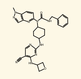 Cn1ncc2nc(N(C(=O)NCc3ccccc3)C3CCC(Nc4ncc(C#N)c(NC5COC5)n4)CC3)ccc21